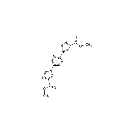 COC(=O)c1cn(-c2ccc(-n3cnc(C(=O)OC)c3)nn2)cn1